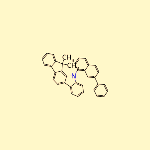 CC1(C)c2ccccc2-c2ccc3c4ccccc4n(-c4cccc5ccc(-c6ccccc6)cc45)c3c21